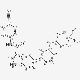 N#Cc1ccc(NC(=O)c2n[nH]c3ccc(-c4cncc(CC5CCC(F)(F)CC5)c4)cc23)cc1